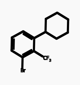 FC(F)(F)c1c(Br)cccc1C1CCCCC1